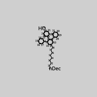 CCCCCCCCCCCCCCCCCCc1cc(-c2ccccc2)c(-c2ccc(O)cc2)c(-c2ccccc2)c1